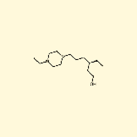 CC[C@@H](CCO)CCCN1CCN(CC)CC1